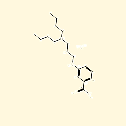 CCCCN(CCCC)CCCOc1cccc(C(=O)Cl)c1.Cl